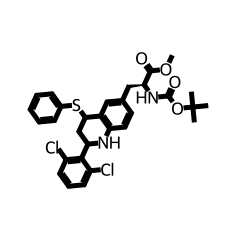 COC(=O)[C@H](Cc1ccc2c(c1)C(Sc1ccccc1)CC(c1c(Cl)cccc1Cl)N2)NC(=O)OC(C)(C)C